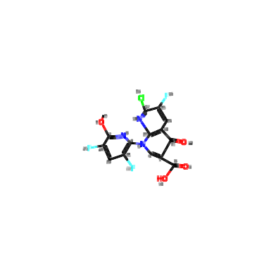 COc1nc(-n2cc(C(=O)O)c(=O)c3cc(F)c(Cl)nc32)c(F)cc1F